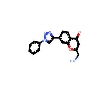 NCc1cc(=O)c2ccc(-c3cn(-c4ccccc4)nn3)cc2o1